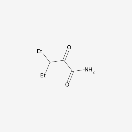 CCC(CC)C(=O)C(N)=O